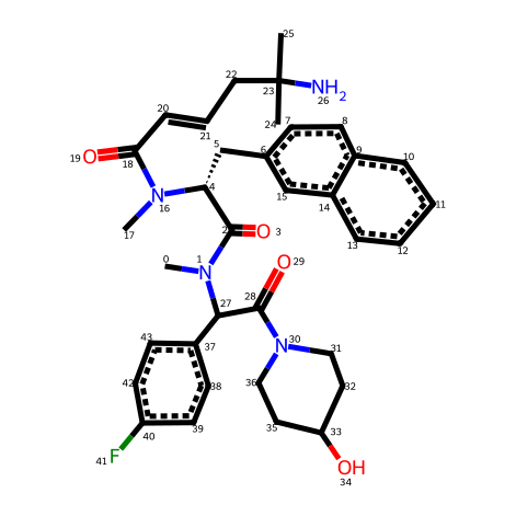 CN(C(=O)[C@@H](Cc1ccc2ccccc2c1)N(C)C(=O)/C=C/CC(C)(C)N)C(C(=O)N1CCC(O)CC1)c1ccc(F)cc1